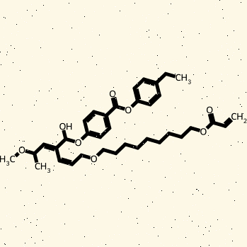 C=CC(=O)OCCCCCCCCCOC/C=C\C(=C/C(C)OC)C(O)Oc1ccc(C(=O)Oc2ccc(CC)cc2)cc1